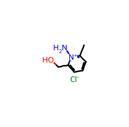 Cc1cccc(CO)[n+]1N.[Cl-]